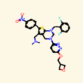 CN(C)Cc1c(-c2ccc([N+](=O)[O-])cc2)sc2c1CN(c1ccc(OCC3COC3)nn1)CN2Cc1c(F)cccc1F